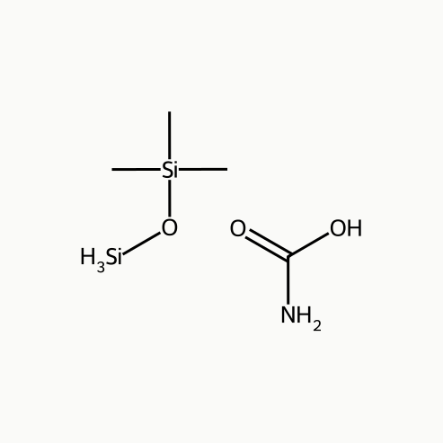 C[Si](C)(C)O[SiH3].NC(=O)O